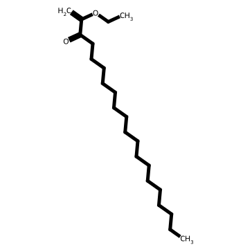 C=C(OCC)C(=O)CCCCCCCCCCCCCCCCC